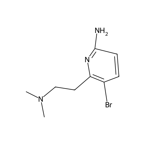 CN(C)CCc1nc(N)ccc1Br